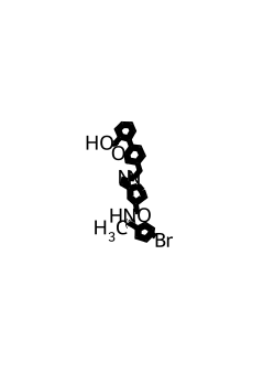 C[C@H](NC(=O)c1ccc2c(cnn2Cc2ccc(-c3ccccc3C(=O)O)cc2)c1)c1ccc(Br)cc1